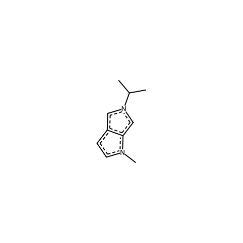 CC(C)n1cc2ccn(C)c2c1